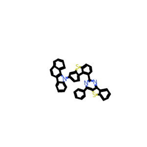 c1ccc(-c2nc(-c3cccc4sc5cc(-n6c7ccccc7c7ccc8ccccc8c76)ccc5c34)nc3c2sc2ccccc23)cc1